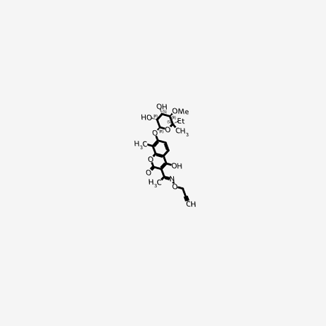 C#CCON=C(C)c1c(O)c2ccc(O[C@@H]3O[C@@](C)(CC)[C@H](OC)[C@@H](O)[C@H]3O)c(C)c2oc1=O